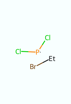 CCBr.Cl[P]Cl